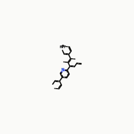 C=C/C=C(\C(C)=C(/C)C(=CC)/C=C\CCC)c1ccc(C(/C=C\C)=C/C)cn1